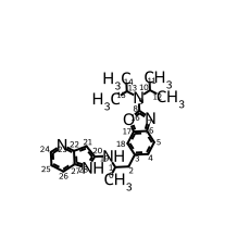 CC(Cc1ccc2nc(N(C(C)C)C(C)C)oc2c1)Nc1cc2ncccc2[nH]1